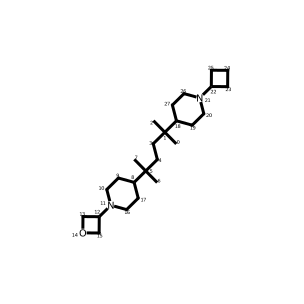 CC(C)(CCC(C)(C)C1CCN(C2COC2)CC1)C1CCN(C2CCC2)CC1